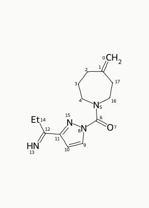 C=C1CCCN(C(=O)n2ccc(C(=N)CC)n2)CC1